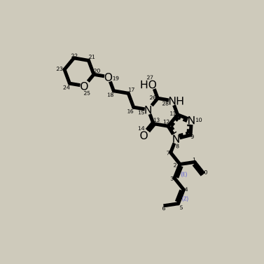 C=C/C(=C\C=C/C)Cn1cnc2c1C(=O)N(CCCOC1CCCCO1)C(O)N2